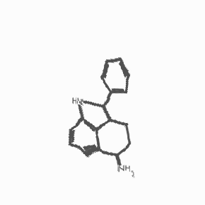 NC1CCC2c3c(cccc31)NC2c1ccccc1